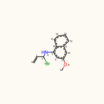 C=CC(Br)Nc1cc(OC)cc2ccccc12